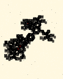 CC(C)[Si](O[C@@H]1[C@H](O[Si](C(C)C)(C(C)C)C(C)C)[C@@H](C#Cc2ccc([C@@H]3O[C@@H](COC(=O)C(C)(C)C)[C@H](CC(C)(C)C(=O)O)[C@H](CC(C)(C)C(=O)O)[C@H]3CC(C)(C)C(=O)O)cc2)O[C@H](CO)[C@H]1O[Si](C(C)C)(C(C)C)C(C)C)(C(C)C)C(C)C